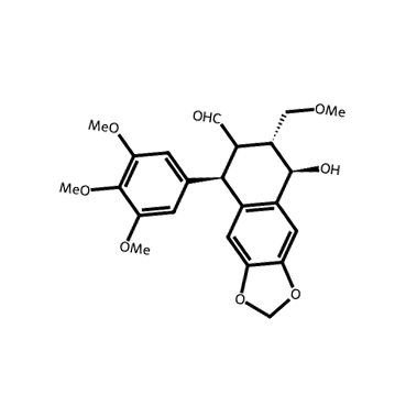 COC[C@H]1C(C=O)[C@H](c2cc(OC)c(OC)c(OC)c2)c2cc3c(cc2[C@@H]1O)OCO3